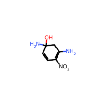 NC1=C([N+](=O)[O-])C=CC(N)(O)C1